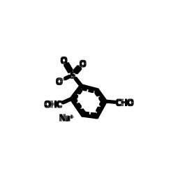 O=Cc1ccc(C=O)c(S(=O)(=O)[O-])c1.[Na+]